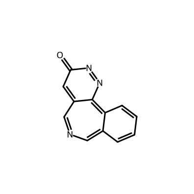 O=c1cc2cncc3ccccc3c-2nn1